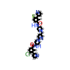 Cc1c(C(=O)NC2CCN(Cc3ccc(N4CCC(NC(=O)c5ccc(Cl)c(-c6cccnc6)c5C)CC4)nc3)CC2)ccc(F)c1-c1cccnc1